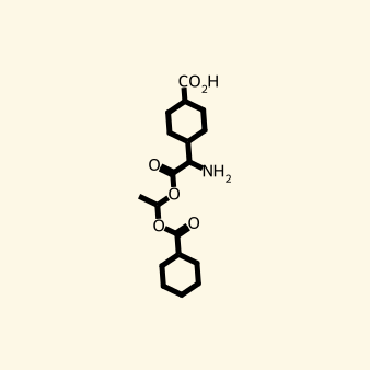 CC(OC(=O)C1CCCCC1)OC(=O)C(N)C1CCC(C(=O)O)CC1